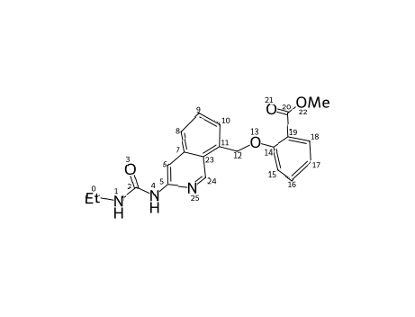 CCNC(=O)Nc1cc2cccc(COc3ccccc3C(=O)OC)c2cn1